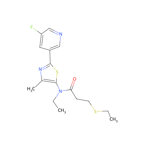 CCSCCC(=O)N(CC)c1sc(-c2cncc(F)c2)nc1C